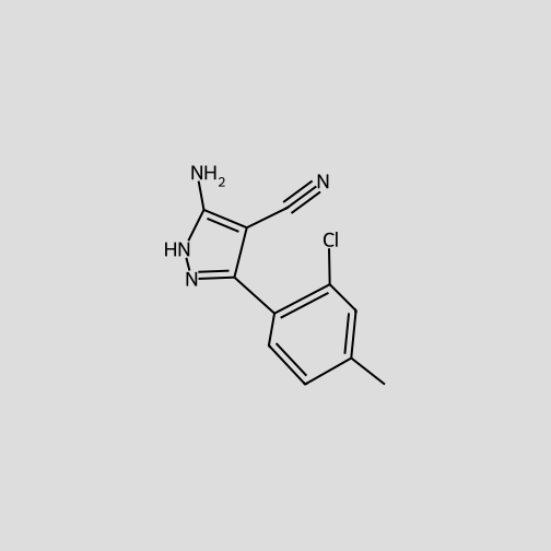 Cc1ccc(-c2n[nH]c(N)c2C#N)c(Cl)c1